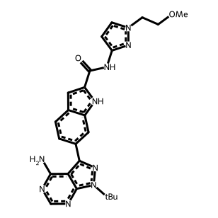 COCCn1ccc(NC(=O)c2cc3ccc(-c4nn(C(C)(C)C)c5ncnc(N)c45)cc3[nH]2)n1